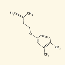 C=C(C)CCOc1ccc(C)c(C(F)(F)F)c1